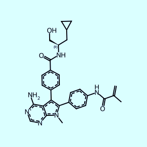 C=C(C)C(=O)Nc1ccc(-c2c(-c3ccc(C(=O)N[C@@H](CO)CC4CC4)cc3)c3c(N)ncnc3n2C)cc1